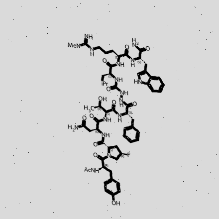 CNC(=N)NCCC[C@H](NC(=O)[C@H](CC(C)C)NC(=O)NNC(=O)[C@H](Cc1ccccc1)NC(=O)[C@@H](NC(=O)[C@H](CC(N)=O)NC(=O)[C@@H]1C[C@@H](F)CN1C(=O)[C@@H](Cc1ccc(O)cc1)NC(C)=O)[C@@H](C)O)C(=O)N[C@@H](Cc1c[nH]c2ccccc12)C(N)=O